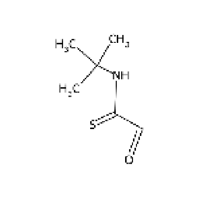 CC(C)(C)NC(=S)C=O